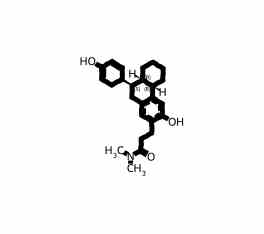 CN(C)C(=O)CCc1cc2c(cc1O)[C@@H]1CCCC[C@@H]1[C@H](C1C=CC(O)=CC1)C2